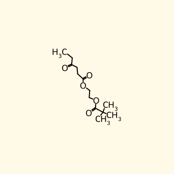 CCC(=O)CCC(=O)OCCOC(=O)C(C)(C)C